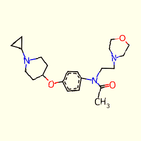 CC(=O)N(CCN1CCOCC1)c1ccc(OC2CCN(C3CC3)CC2)cc1